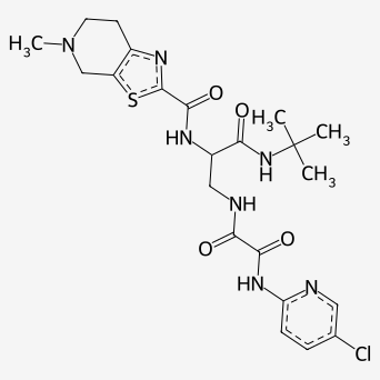 CN1CCc2nc(C(=O)NC(CNC(=O)C(=O)Nc3ccc(Cl)cn3)C(=O)NC(C)(C)C)sc2C1